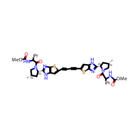 COC(=O)NC(C(=O)N1C[C@@H](C)C[C@H]1c1nc2sc(C#CC#Cc3cc4[nH]c([C@@H]5C[C@H](C)CN5C(=O)C(NC(=O)OC)C(C)C)nc4s3)cc2[nH]1)C(C)C